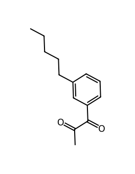 CCCCCc1cccc(C(=O)C(C)=O)c1